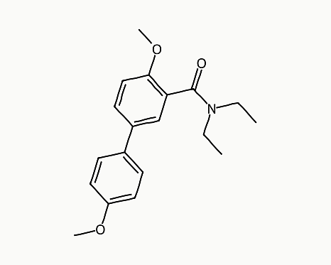 CCN(CC)C(=O)c1cc(-c2ccc(OC)cc2)ccc1OC